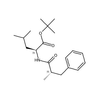 CC(C)C[C@H](NC(=O)[C@@H](C)Cc1ccccc1)C(=O)OC(C)(C)C